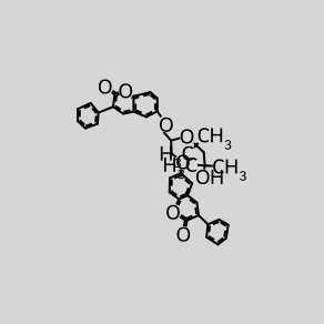 CC(C)(O)CC(C)(C)OC(COc1ccc2oc(=O)c(-c3ccccc3)cc2c1)COc1ccc2oc(=O)c(-c3ccccc3)cc2c1